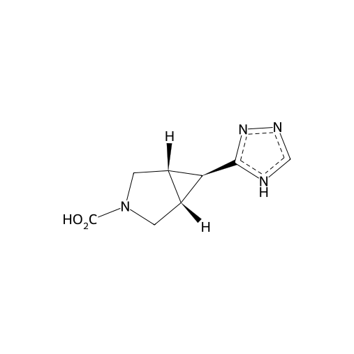 O=C(O)N1C[C@@H]2[C@H](C1)[C@H]2c1nnc[nH]1